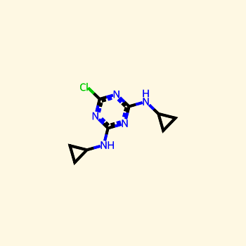 Clc1nc(NC2CC2)nc(NC2CC2)n1